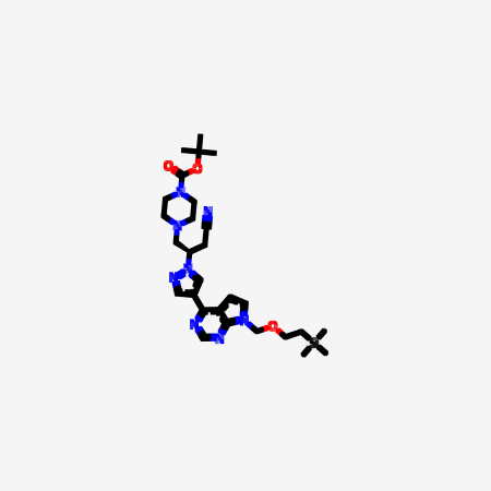 CC(C)(C)OC(=O)N1CCN(C[C@@H](CC#N)n2cc(-c3ncnc4c3ccn4COCC[Si](C)(C)C)cn2)CC1